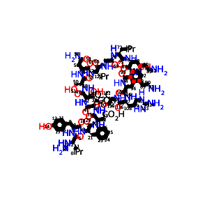 CC(C)C[C@H](NN)C(=O)NC(Cc1ccc(O)cc1)C(=O)N[C@@H](Cc1ccccc1)C(=O)NC(CC(=O)O)C(=O)N[C@@H](CC(=O)O)C(=O)NC(CO)C(=O)N[C@@H](CO)C(=O)NC(CC(N)=O)C(=O)N[C@H](C(=O)NCC(=O)N[C@@H](CC(C)C)C(=O)NC(CCCCN)C(=O)N[C@@H](CCCCN)C(=O)NC(Cc1ccc(O)cc1)C(=O)N[C@@H](CCCNC(=N)N)C(=O)NC(CO)C(=O)O)C(C)C